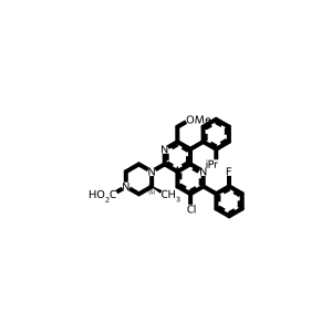 COCc1nc(N2CCN(C(=O)O)C[C@@H]2C)c2cc(Cl)c(-c3ccccc3F)nc2c1-c1ccccc1C(C)C